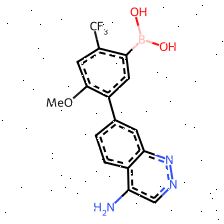 COc1cc(C(F)(F)F)c(B(O)O)cc1-c1ccc2c(N)cnnc2c1